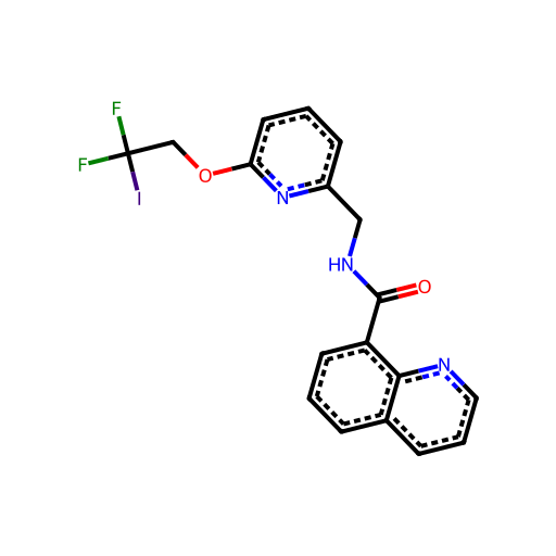 O=C(NCc1cccc(OCC(F)(F)I)n1)c1cccc2cccnc12